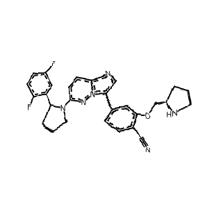 N#Cc1ccc(-c2cnc3ccc(N4CCCC4c4cc(F)ccc4F)nn23)cc1OC[C@H]1CCCN1